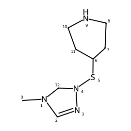 CN1C=NN(SC2CCNCC2)C1